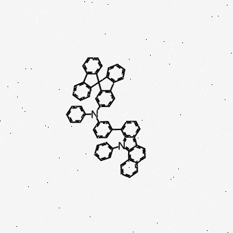 c1ccc(N(c2cccc(-c3cccc4c5ccc6ccccc6c5n(-c5ccccc5)c34)c2)c2ccc3c(c2)C2(c4ccccc4-c4ccccc42)c2ccccc2-3)cc1